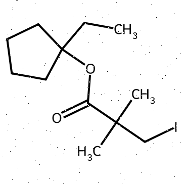 CCC1(OC(=O)C(C)(C)CI)CCCC1